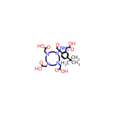 CC(C)(C)c1ccc(C(N)(C=O)N2CCN(CC(=O)O)CCN(CC(=O)O)CCN(CC(=O)O)CC2)c(CC(=O)O)c1